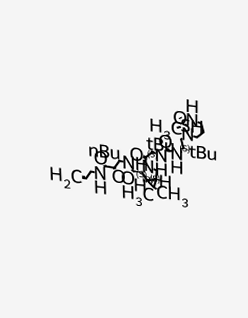 C=CCNC(=O)C(=O)C(CCCC)NC(=O)[C@@H]1[C@@H]2[C@H](CN1C(=O)[C@@H](NC(=O)N[C@H](CN1CCCN[SH]1(C)=O)C(C)(C)C)C(C)(C)C)C2(C)C